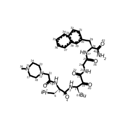 CC[C@H](C)C(NC(=O)[C@H](CC(C)C)NC(=O)CN1CCN(C)CC1)C(=O)C(=O)NCC(=O)N[C@@H](Cc1ccc2ccccc2c1)C(N)=O